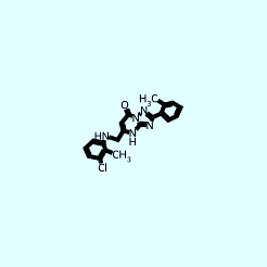 Cc1ccccc1-c1nc2[nH]c(CNc3cccc(Cl)c3C)cc(=O)n2n1